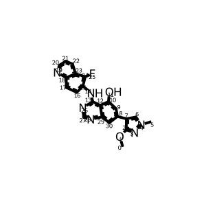 COc1nn(C)cc1-c1cc(O)c2c(Nc3ccc4ncccc4c3F)ncnc2c1